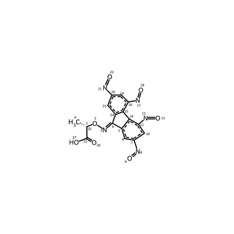 C[C@H](ON=C1c2cc(N=O)cc(N=O)c2-c2c(N=O)cc(N=O)cc21)C(=O)O